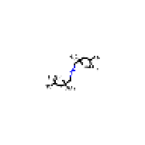 COC(C)(CN=NCC(C)(CC(C)C#N)OC)CC(C)C#N